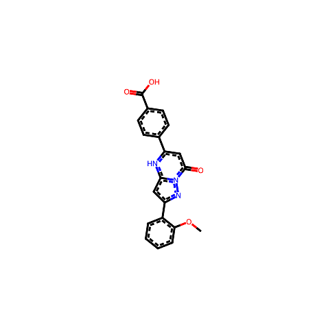 COc1ccccc1-c1cc2[nH]c(-c3ccc(C(=O)O)cc3)cc(=O)n2n1